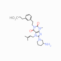 CC(C)=CCn1c(N2CCCC(N)C2)nc2c1c(=O)n(CCc1cccc(CCC(=O)O)c1)c(=O)n2C